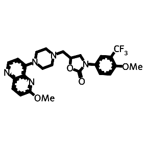 COc1ccc2nccc(N3CCN(CC4CN(c5ccc(OC)c(C(F)(F)F)c5)C(=O)O4)CC3)c2n1